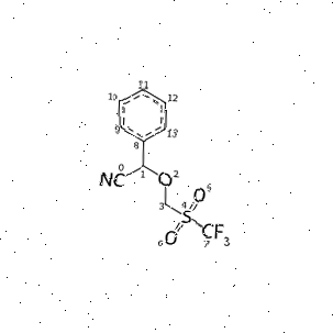 N#CC(OCS(=O)(=O)C(F)(F)F)c1ccccc1